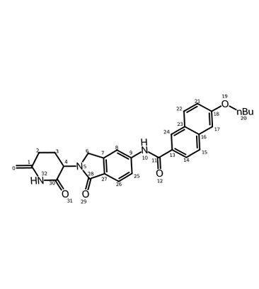 C=C1CCC(N2Cc3cc(NC(=O)c4ccc5cc(OCCCC)ccc5c4)ccc3C2=O)C(=O)N1